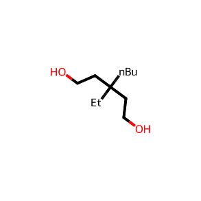 CCCCC(CC)(CCO)CCO